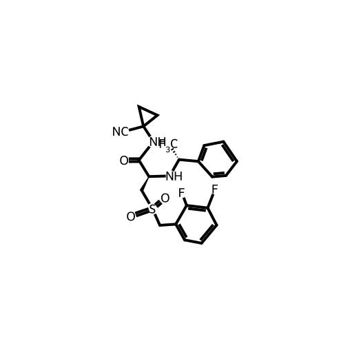 N#CC1(NC(=O)[C@H](CS(=O)(=O)Cc2cccc(F)c2F)N[C@@H](c2ccccc2)C(F)(F)F)CC1